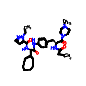 CCC(=O)N[C@H](Cc1ccc(NC(=O)[C@@H](NC(=O)c2ccnn2CC)C2CCCCCC2)cc1)C(=O)N1CCN(C)CC1